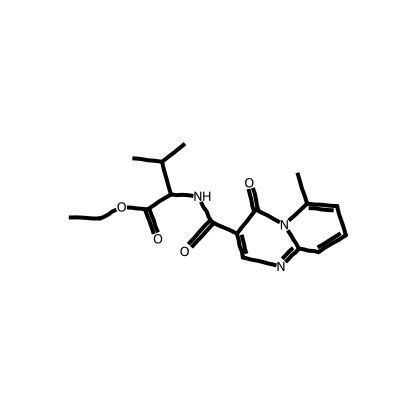 CCOC(=O)C(NC(=O)c1cnc2cccc(C)n2c1=O)C(C)C